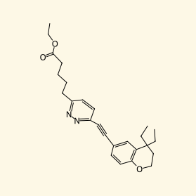 CCOC(=O)CCCCc1ccc(C#Cc2ccc3c(c2)C(CC)(CC)CCO3)nn1